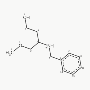 COCC(CCO)NCc1ccccc1